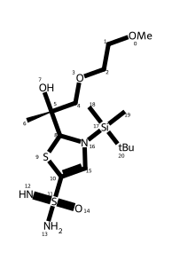 COCCOC[C@@](C)(O)C1SC(S(=N)(N)=O)=CN1[Si](C)(C)C(C)(C)C